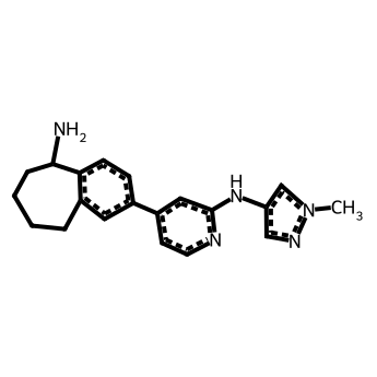 Cn1cc(Nc2cc(-c3ccc4c(c3)CCCCC4N)ccn2)cn1